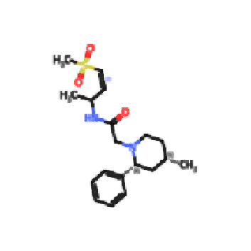 CC(/C=C\S(C)(=O)=O)NC(=O)CN1CC[C@H](C)C[C@@H]1c1ccccc1